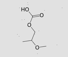 COC(C)COC(=O)O